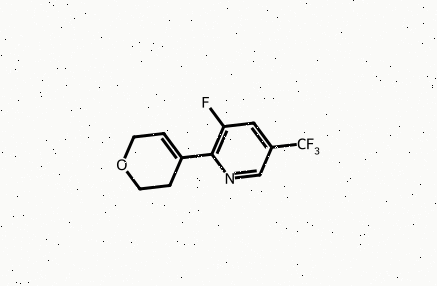 Fc1cc(C(F)(F)F)cnc1C1=CCOCC1